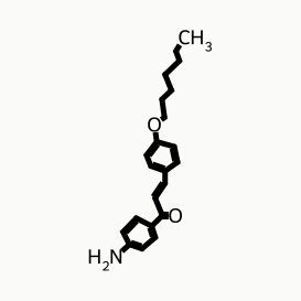 CCCCCCCOc1ccc(/C=C/C(=O)c2ccc(N)cc2)cc1